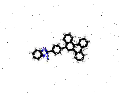 Cn1c(-c2ccc(-c3cc4c5ccccc5c5ccccc5c4c4ccccc34)cc2)nc2ccccc21